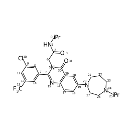 CC(C)NC(=O)Cn1c(-c2cc(Cl)cc(C(F)(F)F)c2)nc2ccc(N3CCCN(C(C)C)CC3)cc2c1=O